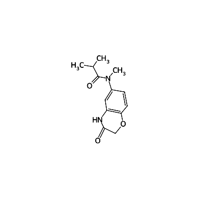 CC(C)C(=O)N(C)c1ccc2c(c1)NC(=O)CO2